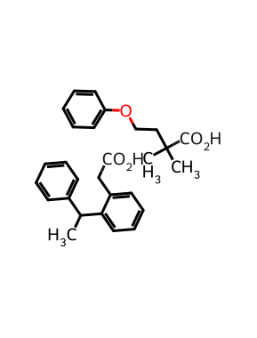 CC(C)(CCOc1ccccc1)C(=O)O.CC(c1ccccc1)c1ccccc1CC(=O)O